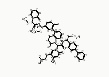 Cc1ccc([C@H](CC(=O)O)NC(=O)[C@H](CC(C)C)n2ccccc2=O)cc1-c1ccccc1CCC(C)C[C@@H](C(=O)N[C@@H](CC(=O)O)c1ccc(-c2ccccc2)cc1)n1cc(CCN(C)C)c(C(F)(F)F)cc1=O